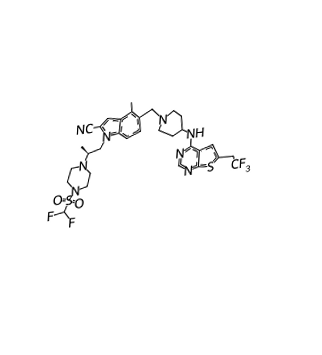 Cc1c(CN2CCC(Nc3ncnc4sc(CC(F)(F)F)cc34)CC2)ccc2c1cc(C#N)n2C[C@H](C)N1CCN(S(=O)(=O)C(F)F)CC1